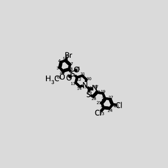 COc1ccc(Br)cc1S(=O)(=O)C1CCN(c2nc(Cc3cc(Cl)cc(Cl)c3)cs2)CC1